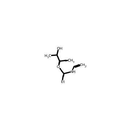 C=CNC(CC)OC(C)C(C)O